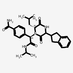 CC(C)C[C@@H]1C(=O)NC(C2Cc3ccccc3C2)C(=O)N1[C@@H](C(=O)NC(C)C)c1ccc(C(N)=O)cc1